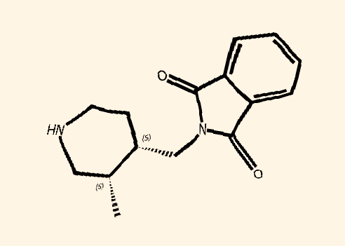 C[C@@H]1CNCC[C@@H]1CN1C(=O)c2ccccc2C1=O